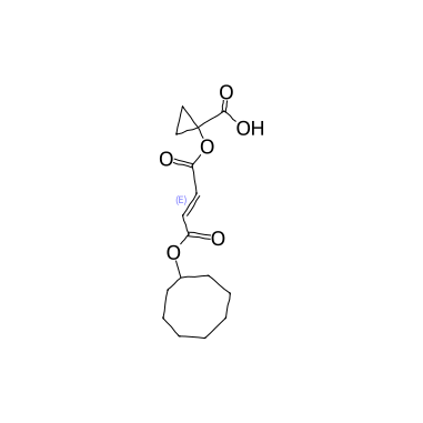 O=C(/C=C/C(=O)OC1(C(=O)O)CC1)OC1CCCCCCC1